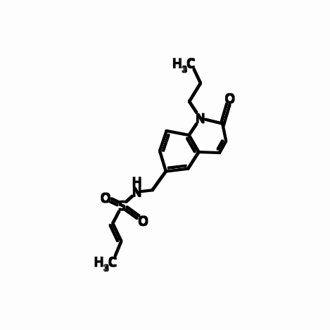 CC=CS(=O)(=O)NCc1ccc2c(ccc(=O)n2CCC)c1